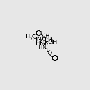 CN=C(NCCOCc1ccccc1)NC(=O)Nc1c(C)cccc1C.Cl